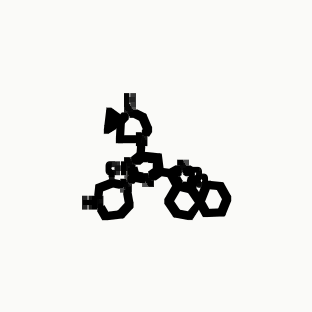 C[C@H]1CNCCCN1c1nc(-c2noc3c2CCC[C@@]32CCCCC2=O)cc(N2CCNC3(CC3)C2)n1